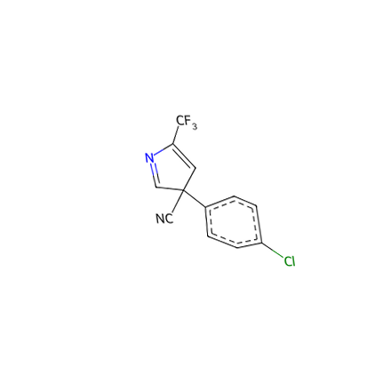 N#CC1(c2ccc(Cl)cc2)C=NC(C(F)(F)F)=C1